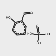 O=Ic1ccccc1O.O=P(O)(O)O